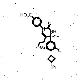 COCCC1=CN(c2ccc(C(=O)O)cc2)C(=O)N[C@@]1(C)c1ccc([C@H]2C[C@@H](C(C)C)C2)c(Cl)c1